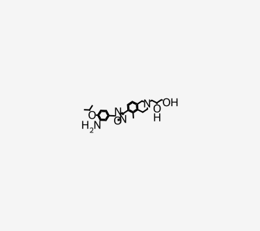 Cc1c(-c2noc(-c3ccc(OC(C)C)c(N)c3)n2)ccc2c1CCN(CC(O)CO)C2